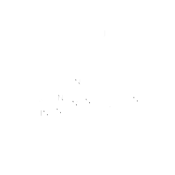 N#CC(CCc1ccc(Cl)cc1)(Cn1cncn1)c1ccccc1.c1c[nH]nn1